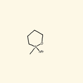 CCC[Si]1(C)CCCCO1